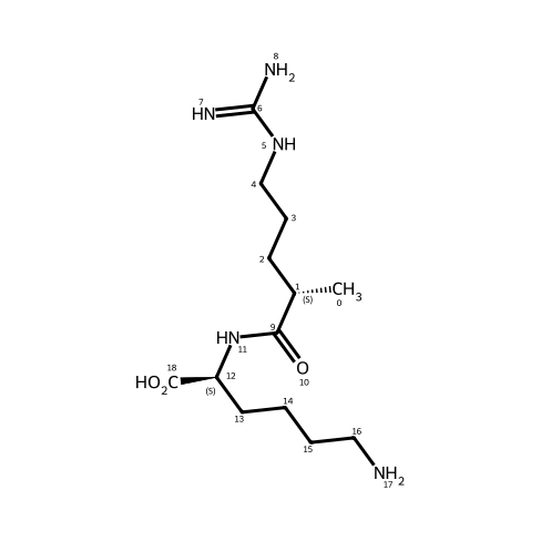 C[C@@H](CCCNC(=N)N)C(=O)N[C@@H](CCCCN)C(=O)O